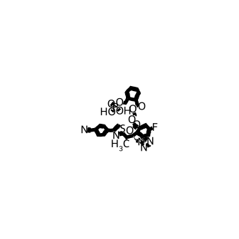 C[C@@H](c1nc(-c2ccc(C#N)cc2)cs1)[C@@](Cn1cncn1)(OC(=O)OCOC(=O)c1ccccc1COP(=O)(O)O)c1ccc(F)cc1F